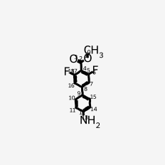 COC(=O)c1c(F)cc(-c2ccc(N)cc2)cc1F